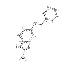 Nc1nc2cc(OCc3ccncc3)ccc2[nH]1